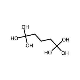 OC(O)(O)CCCC(O)(O)O